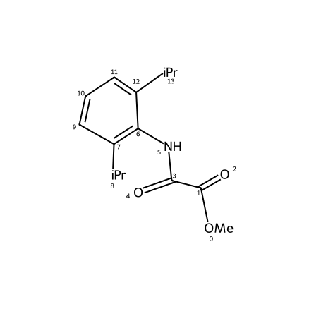 COC(=O)C(=O)Nc1c(C(C)C)cccc1C(C)C